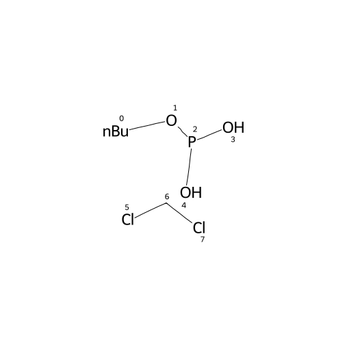 CCCCOP(O)O.ClCCl